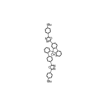 CC(C)(C)c1ccc(-c2nnc(-c3ccc(-c4ccccc4C4(C)c5ccccc5-c5ccc(-c6nnc(-c7ccc(C(C)(C)C)cc7)o6)cc54)cc3)o2)cc1